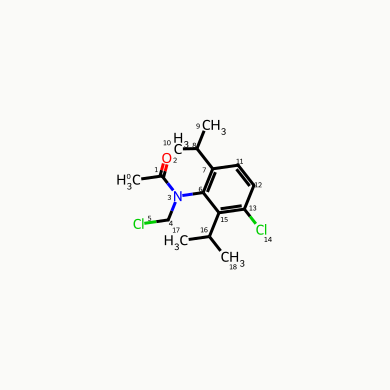 CC(=O)N(CCl)c1c(C(C)C)ccc(Cl)c1C(C)C